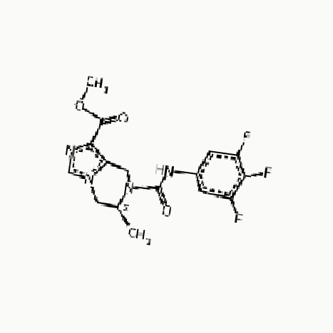 COC(=O)c1ncn2c1CN(C(=O)Nc1cc(F)c(F)c(F)c1)[C@@H](C)C2